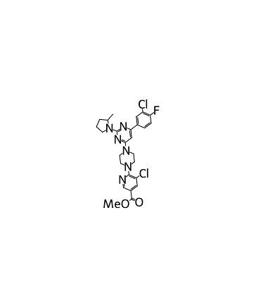 COC(=O)c1cnc(N2CCN(c3cc(-c4ccc(F)c(Cl)c4)nc(N4CCCC4C)n3)CC2)c(Cl)c1